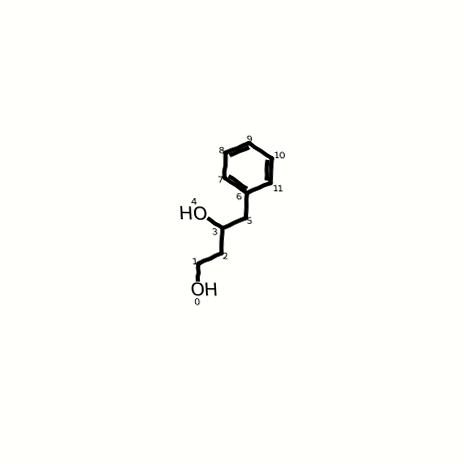 OCCC(O)Cc1ccccc1